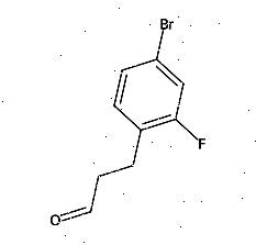 O=CCCc1ccc(Br)cc1F